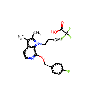 COCCn1c(C)c(C)c2ccnc(OCc3ccc(F)cc3)c21.O=C(O)C(F)(F)F